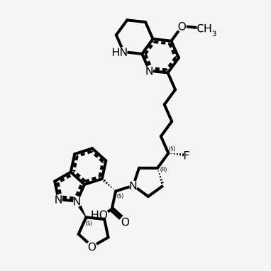 COc1cc(CCCC[C@H](F)[C@@H]2CCN([C@H](C(=O)O)c3cccc4cnn([C@H]5CCOC5)c34)C2)nc2c1CCCN2